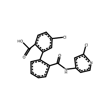 O=C(O)c1ccc(Cl)cc1-c1ccccc1C(=O)Nc1ccnc(Cl)c1